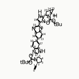 C#C[C@@H]1CC[C@@H](c2nc3ccc(-c4ccc5nc(-c6c[nH]c([C@@H]7CC8C[C@H]8N7C(=O)OC(C)(C)C)n6)cnc5c4)cc3[nH]2)N1C(=O)OC(C)(C)C